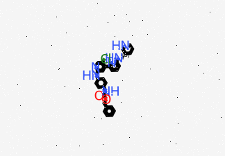 O=C(NC1CCC(Nc2cc(-c3cccc(NC[C@H]4CCCNC4)n3)c(Cl)cn2)CC1)OCc1ccccc1